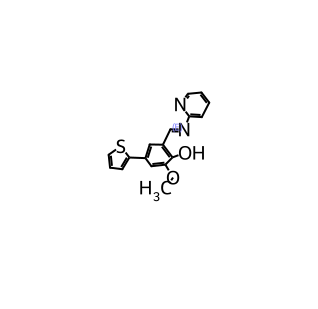 COc1cc(-c2cccs2)cc(/C=N/c2ccccn2)c1O